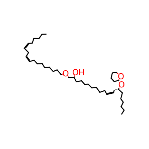 CCCCC/C=C\C/C=C\CCCCCCCCOCC(O)CCCCCCCC/C=C\C[C@@H](CCCCCC)OC1CCCCO1